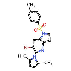 Cc1ccc(S(=O)(=O)n2ccc3nc(-n4c(C)ccc4C)c(Br)cc32)cc1